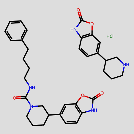 Cl.O=C(NCCCCc1ccccc1)N1CCCC(c2ccc3[nH]c(=O)oc3c2)C1.O=c1[nH]c2ccc(C3CCCNC3)cc2o1